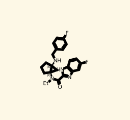 CCN(C(=O)c1nc2cc(F)ccc2[nH]1)[C@@]12CCC[C@]1(NCc1ccc(F)cc1)C2